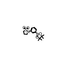 CC1(C)OB(c2cccc(N3CCCS3(=O)=O)c2)OC1(C)C